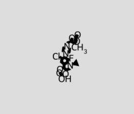 Cc1oc(=O)oc1CN1CCN(c2c(Cl)cc3c(=O)c(OC(=O)O)cn(C4CC4)c3c2F)CC1